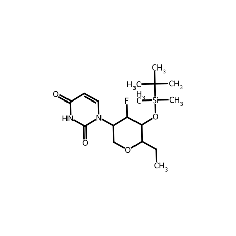 CCC1OCC(n2ccc(=O)[nH]c2=O)C(F)C1O[Si](C)(C)C(C)(C)C